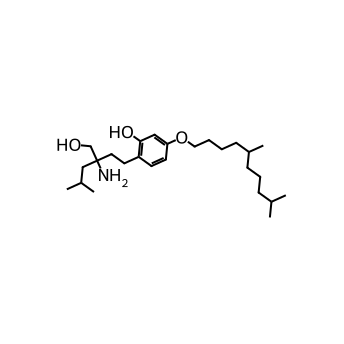 CC(C)CCCC(C)CCCCOc1ccc(CCC(N)(CO)CC(C)C)c(O)c1